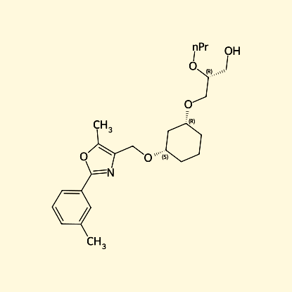 CCCO[C@H](CO)CO[C@@H]1CCC[C@H](OCc2nc(-c3cccc(C)c3)oc2C)C1